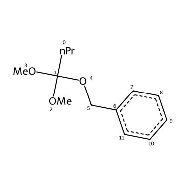 CCCC(OC)(OC)OCc1ccccc1